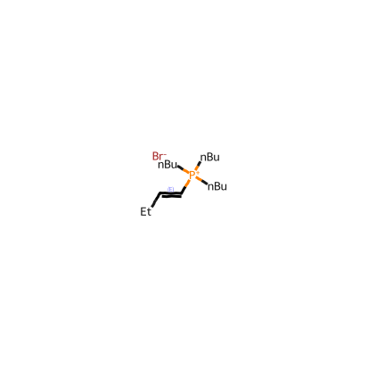 CC/C=C/[P+](CCCC)(CCCC)CCCC.[Br-]